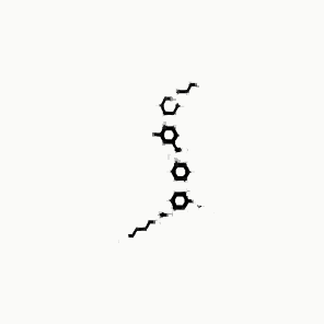 CCCCCNC(=O)Nc1ccc(Oc2ccc(NC(=O)c3ccc(OC4CCN(CCCC)CC4)c(Cl)c3)cc2)c(OC)c1